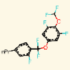 CCCc1ccc(C(F)(F)Oc2cc(F)c(OC(F)F)c(F)c2)c(F)c1